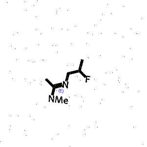 CN/C(C)=N/CC(C)F